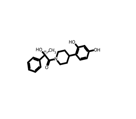 C[C@](O)(C(=O)N1CCC(c2ccc(O)cc2O)CC1)c1ccccc1